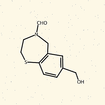 O=CN1CCSc2ccc(CO)cc2C1